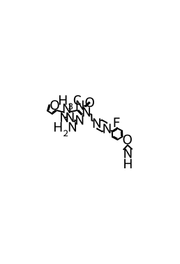 Cn1c(=O)n(CCN2CCN(c3ccc(OC4CNC4)cc3F)CC2)c2nc(N)n3nc(-c4ccco4)nc3c21